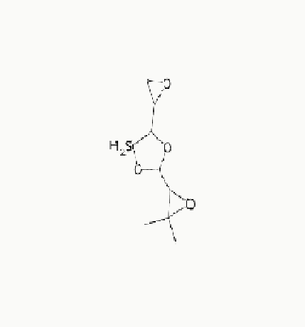 CC1(C)OC1C1O[SiH2]C(C2CO2)O1